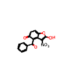 O=C1CC=c2oc(O)c([N+](=O)[O-])c2=C1C(=O)c1ccccc1